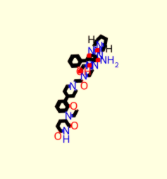 Nc1nnc(-c2ccccc2O)cc1N1C[C@H]2CC[C@@H](C1)N2c1ncc(N2CCN(C(=O)CN3CCC(c4cccc5c4OCCN5[C@H]4CCC(=O)NC4=O)CC3)CC2)cn1